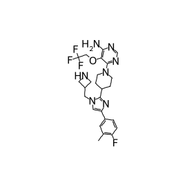 Cc1cc(-c2cn(CC3CNC3)c(C3CCN(c4ncnc(N)c4OCC(F)(F)F)CC3)n2)ccc1F